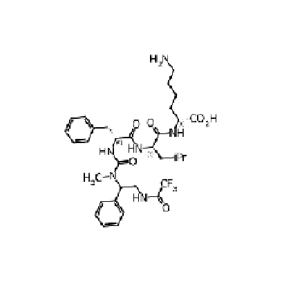 CC(C)C[C@@H](NC(=O)[C@@H](Cc1ccccc1)NC(=O)N(C)C(CNC(=O)C(F)(F)F)c1ccccc1)C(=O)N[C@H](CCCCN)C(=O)O